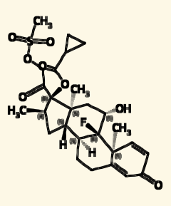 C[C@@H]1C[C@H]2[C@@H]3CCC4=CC(=O)C=C[C@]4(C)[C@@]3(F)[C@@H](O)C[C@]2(C)[C@@]1(OC(=O)C1CC1)C(=O)COS(C)(=O)=O